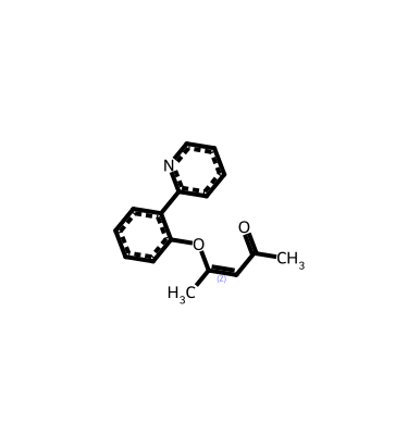 CC(=O)/C=C(/C)Oc1ccccc1-c1ccccn1